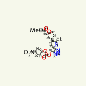 CCc1nc(-c2nnn(C)c2COC(=O)Oc2ccc([N+](=O)[O-])cc2)ccc1C1CCOC(CC(=O)OC)C1